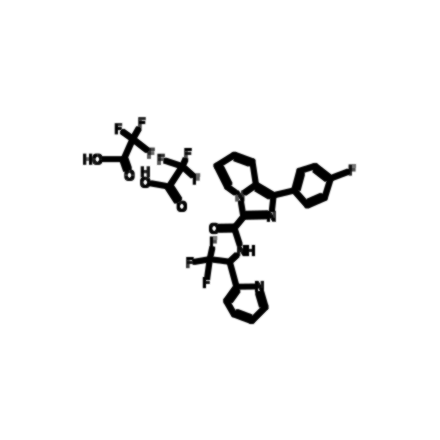 O=C(NC(c1ccccn1)C(F)(F)F)c1nc(-c2ccc(F)cc2)c2ccccn12.O=C(O)C(F)(F)F.O=C(O)C(F)(F)F